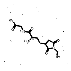 CC(C)CN1C(=O)CC(SC[C@@H](N)C(=O)NCC(=O)C(C)C)C1=O